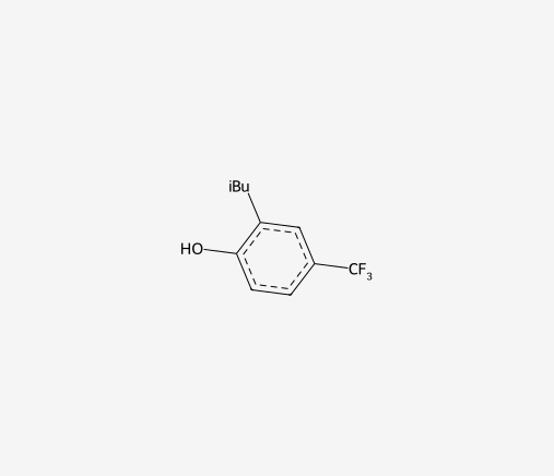 CCC(C)c1cc(C(F)(F)F)ccc1O